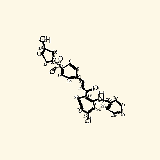 O=C(C=Cc1ccc(S(=O)(=O)N2CCC(O)C2)cc1)c1ccc(Cl)cc1Nc1ccccc1